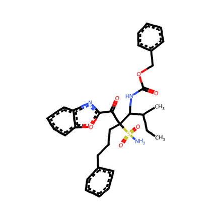 CCC(C)C(NC(=O)OCc1ccccc1)C(CCCc1ccccc1)(C(=O)c1nc2ccccc2o1)S(N)(=O)=O